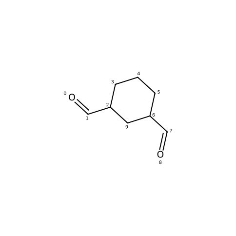 O=CC1CCCC(C=O)C1